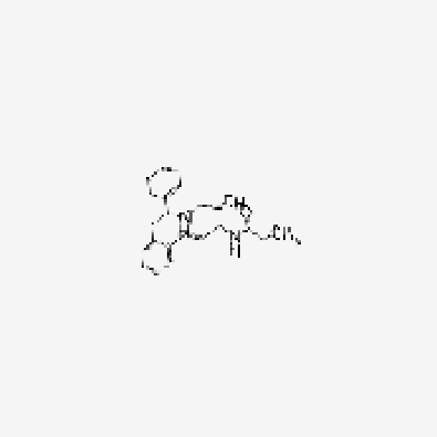 C=CCNC(Cc1ccccc1C=CCNC(=O)CC)c1ccccc1